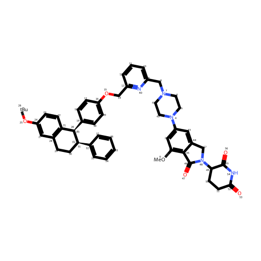 COc1cc(N2CCN(Cc3cccc(COc4ccc([C@@H]5c6ccc(OC(C)(C)C)cc6CC[C@@H]5c5ccccc5)cc4)n3)CC2)cc2c1C(=O)N(C1CCC(=O)NC1=O)C2